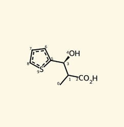 CC(C(=O)O)[C@H](O)c1cccs1